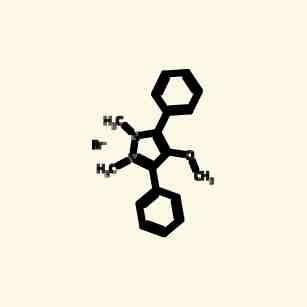 COc1c(-c2ccccc2)n(C)[n+](C)c1-c1ccccc1.[Br-]